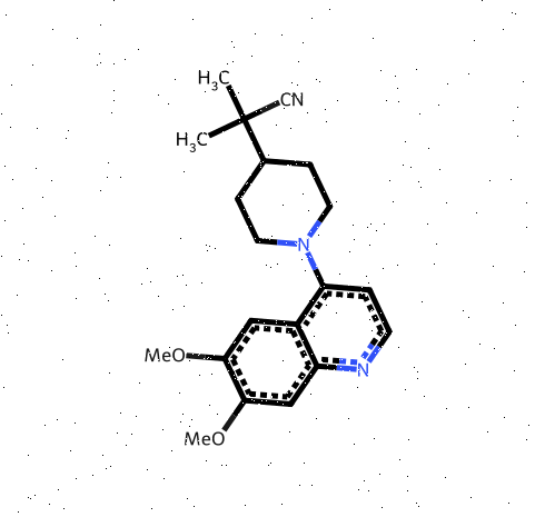 COc1cc2nccc(N3CCC(C(C)(C)C#N)CC3)c2cc1OC